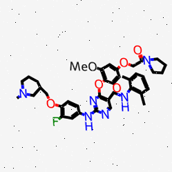 COc1cc(OCC(=O)N2CCCC2)ccc1Oc1nc(Nc2ccc(OCC3CCCN(C)C3)c(F)c2)ncc1C(=O)Nc1c(C)cccc1C